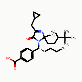 CCCC[C@H](c1ccc(C(=O)O)cc1)N1C(=O)C(CC2CC2)=NC1(C)CCC(C)C(C)(C)C